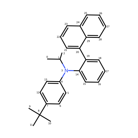 CC(C)N(c1ccc(C(C)(C)C)cc1)c1ccccc1-c1cccc2ccccc12